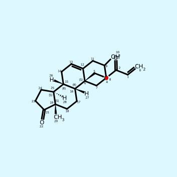 C=CC(=O)OC[C@]12CCC(O)CC1=CC[C@@H]1[C@H]2CC[C@]2(C)C(=O)CC[C@@H]12